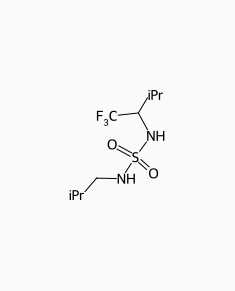 CC(C)CNS(=O)(=O)NC(C(C)C)C(F)(F)F